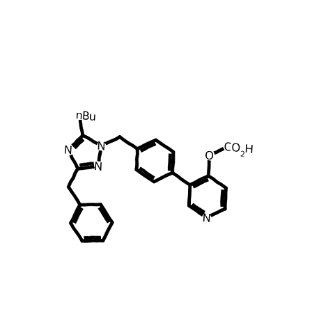 CCCCc1nc(Cc2ccccc2)nn1Cc1ccc(-c2cnccc2OC(=O)O)cc1